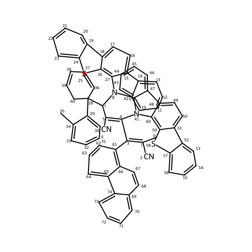 C/C(C#N)=C(\C(=C(C#N)C(n1c2ccccc2c2ccc3c4ccccc4sc3c21)C1(c2ccccc2C)C=CC=CC1)n1c2ccccc2c2ccc3c4ccccc4sc3c21)c1cccc2c1ccc1ccccc12